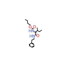 CCCCOC(=O)N[C@H](C(=O)NCCc1ccccc1)C(C)CC